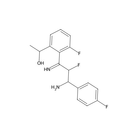 CC(O)c1cccc(F)c1C(=N)C(F)C(N)c1ccc(F)cc1